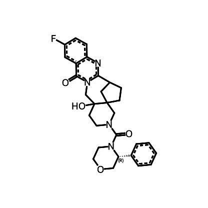 O=C(N1CCC2(O)Cn3c(nc4ccc(F)cc4c3=O)C3CCC2(C3)C1)N1CCOC[C@H]1c1ccccc1